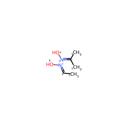 CC(C)=NO.CC=NO